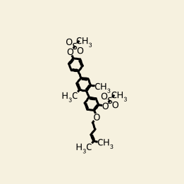 CC(C)=CCCOc1ccc(-c2c(C)cc(-c3ccc(OS(C)(=O)=O)cc3)cc2C)cc1OS(C)(=O)=O